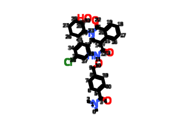 CN(C)C(=O)c1ccc(CONC(=O)[C@@H]2c3ccccc3C(=O)N([C@H]3CCCC[C@@H]3O)[C@H]2c2ccc(Cl)cc2)cc1